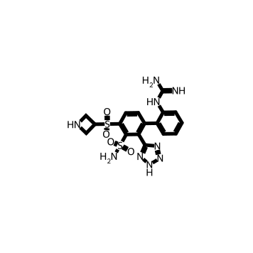 N=C(N)Nc1ccccc1-c1ccc(S(=O)(=O)C2CNC2)c(S(N)(=O)=O)c1-c1nn[nH]n1